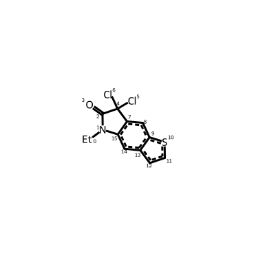 CCN1C(=O)C(Cl)(Cl)c2cc3sccc3cc21